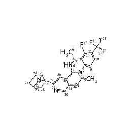 Cc1nc(N[C@H](C)c2cccc(C(F)(F)F)c2F)c2cc(N3CC4CCC3CC4)ncc2n1